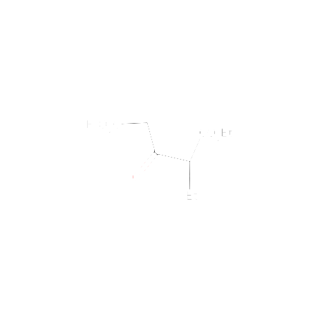 CCOC(=O)CC(=O)C(CC)C(=O)OCC